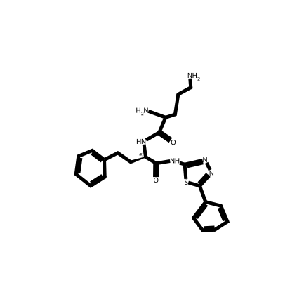 NCCCC(N)C(=O)N[C@H](CCc1ccccc1)C(=O)Nc1nnc(-c2ccccc2)s1